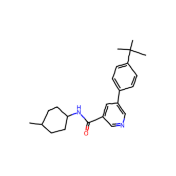 CC1CCC(NC(=O)c2cncc(-c3ccc(C(C)(C)C)cc3)c2)CC1